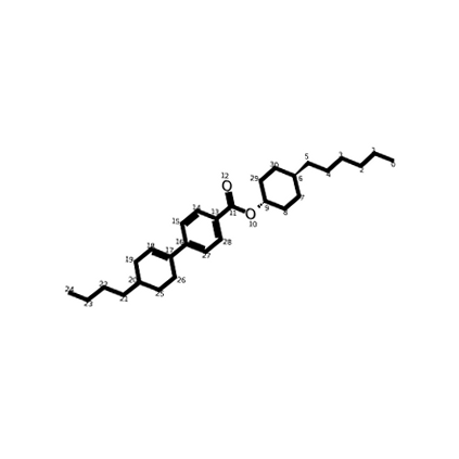 CCCCCC[C@H]1CC[C@H](OC(=O)c2ccc(C3=CCC(CCCC)CC3)cc2)CC1